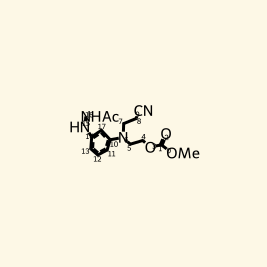 COC(=O)OCCN(CCC#N)c1cccc(NNC(C)=O)c1